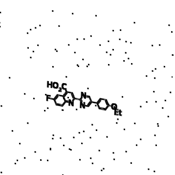 CCOc1ccc(-c2cnc(-c3cc(C(=O)O)c4cc(F)ccc4n3)nc2)cc1